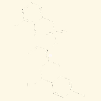 CC(O/C(N)=C(\C=O)OS(=O)(=O)Cc1cccc(F)c1F)c1ccc(Cl)cc1